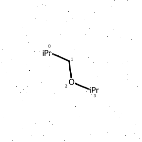 CC(C)COC(C)C